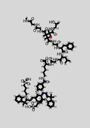 CNC(=O)CNC(=O)CNC(=O)C(C)(C(C)(C)C(=O)NCC(=O)NC(Cc1ccccc1)C(=O)NC(CC(C)C)C(=O)NCC(=O)NC(CCCCNC(=O)c1ccc(SC2=C(/C=C/C3=[N+](CCCCS(=O)(=O)O)c4ccccc4C3(C)C)CCC/C2=C\C=C2/N(CCCCS(=O)(=O)O)c3ccccc3C2(C)C)cc1)C(=O)O)C(C)(C)C(=O)NCC(C)O